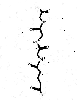 CC(C)(C)C(=O)CCCC(=O)NCC(=O)NCC(=O)NCC(=O)C(C)(C)C